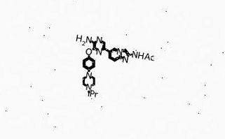 CC(=O)Nc1cn2cc(-c3cnc(N)c(Oc4ccc(N5CCN(C(C)C)CC5)cc4)n3)ccc2n1